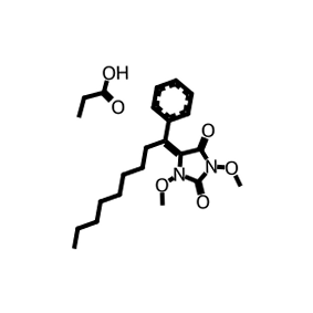 CCC(=O)O.CCCCCCCCC(=C1C(=O)N(OC)C(=O)N1OC)c1ccccc1